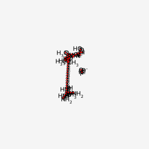 COc1ccc(C(=O)N(CC(C)(C)CCCCCCCCCCCCCCCCCCCCCC(=O)NCC[N+](C)(CC(=O)NCCN)CC(=O)NCCN)c2cccc(C)n2)c(N2CCC(COc3cc([C@@H](CC(=O)O)C4CC4)ccn3)CC2)c1.O=C([O-])C(F)(F)F